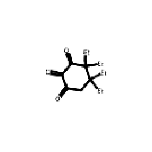 CCC1(CC)CC(=O)C(=O)C(=O)C1(CC)CC